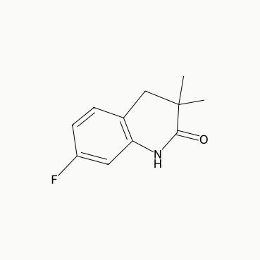 CC1(C)Cc2ccc(F)cc2NC1=O